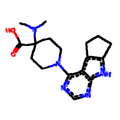 CN(C)C1(C(=O)O)CCN(c2ncnc3[nH]c4c(c23)CCC4)CC1